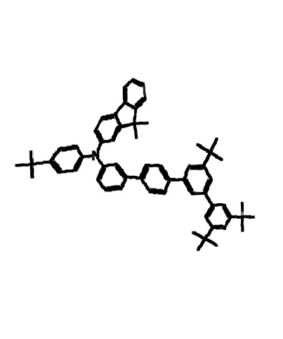 CC(C)(C)c1ccc(N(c2cccc(-c3ccc(-c4cc(-c5cc(C(C)(C)C)cc(C(C)(C)C)c5)cc(C(C)(C)C)c4)cc3)c2)c2ccc3c(c2)C(C)(C)c2ccccc2-3)cc1